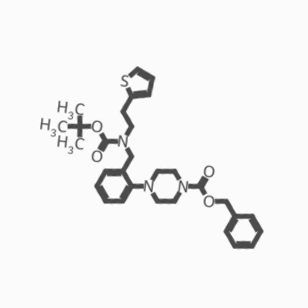 CC(C)(C)OC(=O)N(CCc1cccs1)Cc1ccccc1N1CCN(C(=O)OCc2ccccc2)CC1